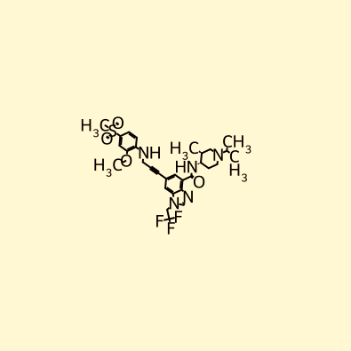 COc1cc(S(C)(=O)=O)ccc1NCC#Cc1cc(C(=O)N[C@H]2CCN(C(C)C)C[C@@H]2C)c2ncn(CC(F)(F)F)c2c1